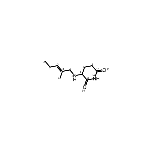 CC/C=C(\C)CNC1CCC(=O)NC1=O